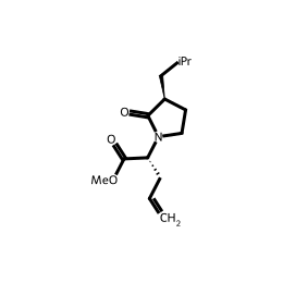 C=CC[C@H](C(=O)OC)N1CC[C@H](CC(C)C)C1=O